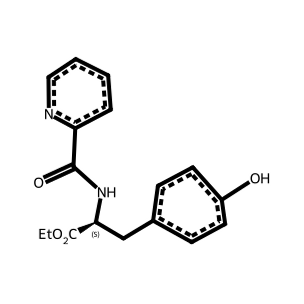 CCOC(=O)[C@H](Cc1ccc(O)cc1)NC(=O)c1ccccn1